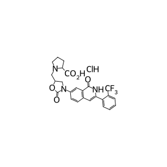 Cl.O=C(O)C1CCCN1CC1CN(c2ccc3cc(-c4ccccc4C(F)(F)F)[nH]c(=O)c3c2)C(=O)O1